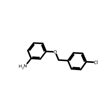 Nc1cccc(OCc2ccc(Cl)cc2)c1